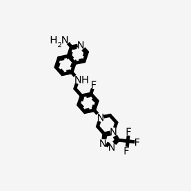 Nc1nccc2c(NCc3ccc(N4CCn5c(nnc5C(F)(F)F)C4)cc3F)cccc12